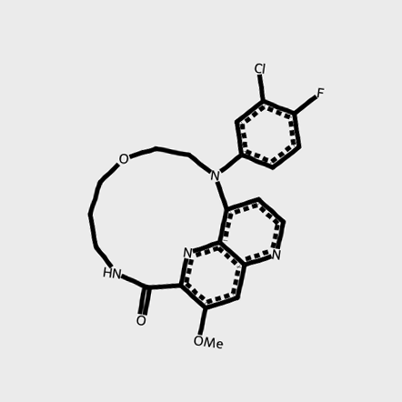 COc1cc2nccc3c2nc1C(=O)NCCCOCCN3c1ccc(F)c(Cl)c1